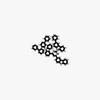 c1ccc(-c2cccc([Si](c3ccccc3)(c3cccc(-c4ccccc4)c3)c3cccc(-c4cc(-c5ccc6sc7ccccc7c6c5)nc(-n5c6ccccc6c6cc(-c7ccccc7)ccc65)n4)c3)c2)cc1